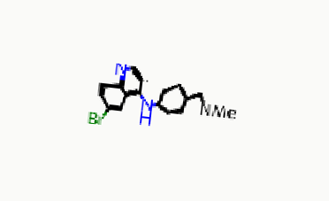 CNCC1CCC(Nc2[c]cnc3ccc(Br)cc23)CC1